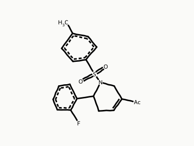 CC(=O)C1=CCC(c2ccccc2F)N(S(=O)(=O)c2ccc(C)cc2)C1